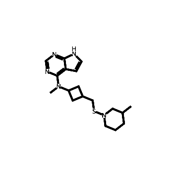 CC1CCCN(SCC2CC(N(C)c3ncnc4[nH]ccc34)C2)C1